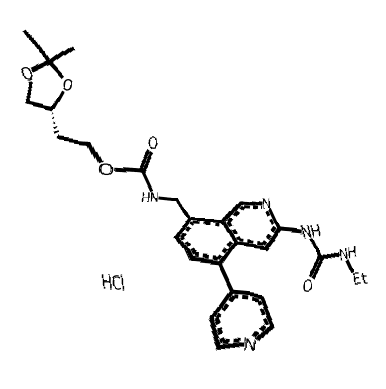 CCNC(=O)Nc1cc2c(-c3ccncc3)ccc(CNC(=O)OCC[C@@H]3COC(C)(C)O3)c2cn1.Cl